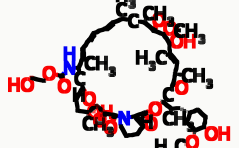 CO[C@@H]1C[C@H](C[C@@H](C)[C@@H]2CC(=O)[C@H](C)/C=C(\C)[C@@H](O)[C@@H](OC)C(=O)[C@H](C)C[C@H](C)/C=C/C=C/C=C(\C)C(NC(=O)OCCO)C[C@@H]3CC[C@@H](C)[C@@](O)(O3)C(=O)C(=O)N3CCCC[C@H]3C(=O)O2)CC[C@H]1O